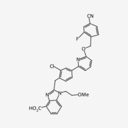 COCCn1c(Cc2ccc(-c3cccc(OCc4ccc(C#N)cc4F)n3)cc2Cl)nc2c(C(=O)O)cccc21